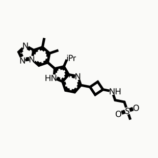 Cc1c(-c2[nH]c3ccc(C4CC(NCCS(C)(=O)=O)C4)nc3c2C(C)C)cn2ncnc2c1C